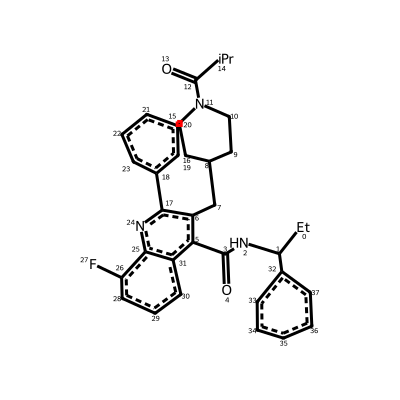 CCC(NC(=O)c1c(CC2CCN(C(=O)C(C)C)CC2)c(-c2ccccc2)nc2c(F)cccc12)c1ccccc1